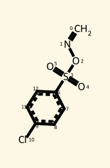 C=NOS(=O)(=O)c1ccc(Cl)cc1